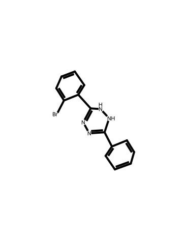 Brc1ccccc1C1=NN=C(c2ccccc2)NN1